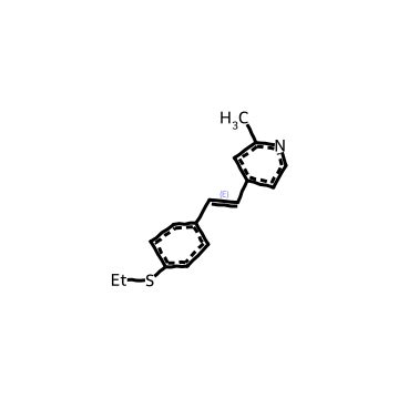 CCSc1ccc(/C=C/c2ccnc(C)c2)cc1